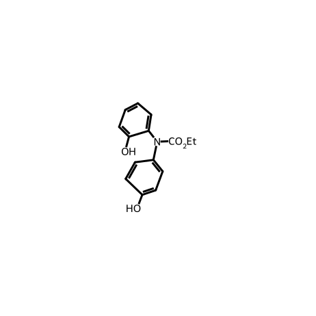 CCOC(=O)N(c1ccc(O)cc1)c1ccccc1O